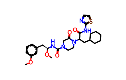 COc1cccc(C[C@@H](NC(=O)N2CCN(C(CC3CCCCC3)C(=O)Nc3nccs3)C(=O)C2)OC)c1